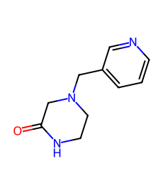 O=C1CN(Cc2cccnc2)CCN1